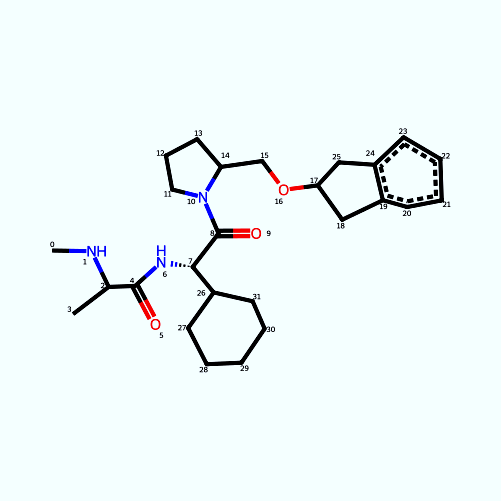 CNC(C)C(=O)N[C@H](C(=O)N1CCCC1COC1Cc2ccccc2C1)C1CCCCC1